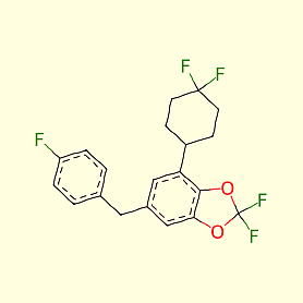 Fc1ccc(Cc2cc3c(c(C4CCC(F)(F)CC4)c2)OC(F)(F)O3)cc1